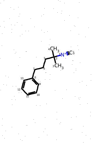 [C-]#[N+]C(C)(C)CCCc1ccccc1